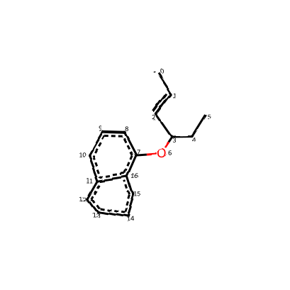 [CH2]C=CC(CC)Oc1cccc2ccccc12